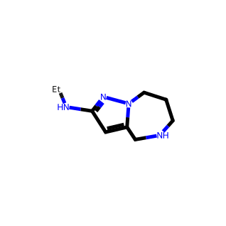 CCNc1cc2n(n1)CCCNC2